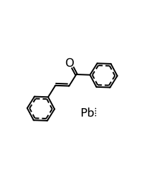 O=C(C=Cc1ccccc1)c1ccccc1.[Pb]